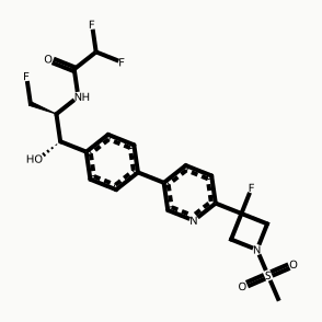 CS(=O)(=O)N1CC(F)(c2ccc(-c3ccc([C@H](O)[C@@H](CF)NC(=O)C(F)F)cc3)cn2)C1